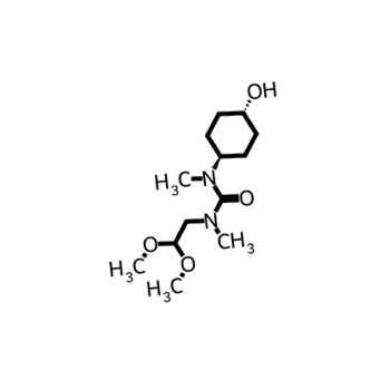 COC(CN(C)C(=O)N(C)[C@H]1CC[C@H](O)CC1)OC